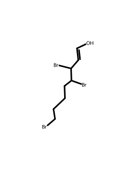 OC=CC(Br)C(Br)CCCCBr